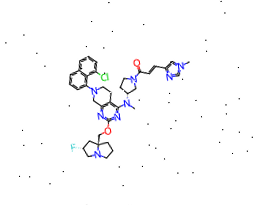 CN(c1nc(OC[C@@]23CCCN2C[C@H](F)C3)nc2c1CCN(c1cccc3cccc(Cl)c13)C2)[C@@H]1CCN(C(=O)/C=C/c2cn(C)cn2)C1